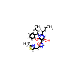 CCCCc1nc(O)c(-c2nnc(Cc3csc(C)n3)o2)c(=O)n1[C@@H](CCC)c1ccccc1